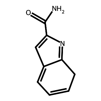 NC(=O)C1=CC2=CC=CCC2=N1